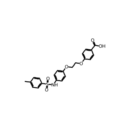 Cc1ccc(S(=O)(=O)Nc2ccc(OCCOc3ccc(C(=O)O)cc3)cc2)cc1